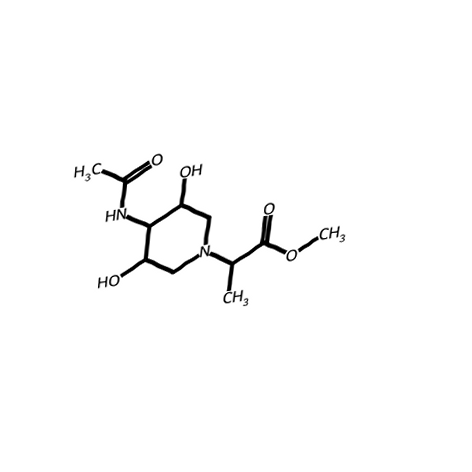 COC(=O)C(C)N1CC(O)C(NC(C)=O)C(O)C1